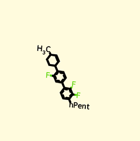 CCCCCc1ccc(-c2ccc(C3C=CC(C)CC3)c(F)c2)c(F)c1F